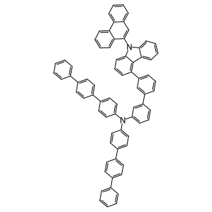 c1ccc(-c2ccc(-c3ccc(N(c4ccc(-c5ccc(-c6ccccc6)cc5)cc4)c4cccc(-c5cccc(-c6cccc7c6c6ccccc6n7-c6cc7ccccc7c7ccccc67)c5)c4)cc3)cc2)cc1